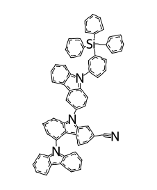 N#Cc1ccc2c3c(-n4c5ccccc5c5ccccc54)cccc3n(-c3ccc4c(c3)c3ccccc3n4-c3cccc([Si](c4ccccc4)(c4ccccc4)c4ccccc4)c3)c2c1